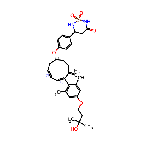 C=C1CC[C@@H](Oc2ccc(C3CC(=O)NS(=O)(=O)N3)cc2)C/C=C\C=C/1c1c(C)cc(OCCC(C)(C)O)cc1C